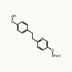 CCCCCOc1ccc(CCc2ccc(OCCC)cc2)nc1